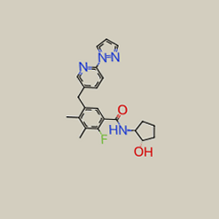 Cc1c(Cc2ccc(-n3cccn3)nc2)cc(C(=O)N[C@H]2CCC[C@@H]2O)c(F)c1C